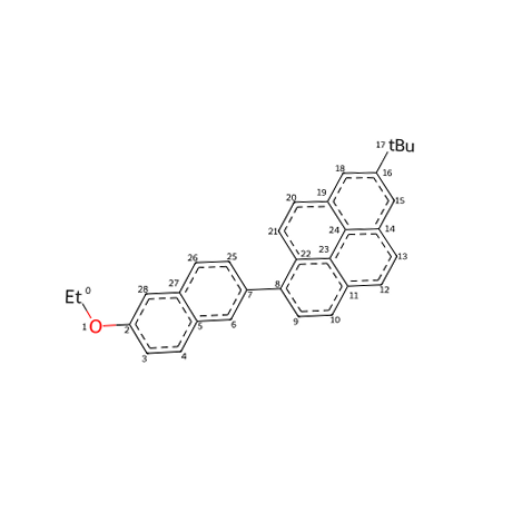 CCOc1ccc2cc(-c3ccc4ccc5cc(C(C)(C)C)cc6ccc3c4c56)ccc2c1